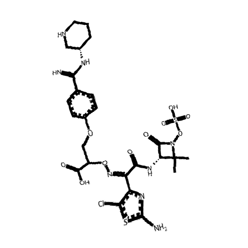 CC1(C)[C@H](NC(=O)/C(=N\OC(COc2ccc(C(=N)N[C@H]3CCCNC3)cc2)C(=O)O)c2nc(N)sc2Cl)C(=O)N1OS(=O)(=O)O